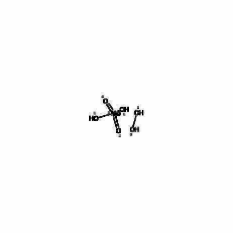 OO.[O]=[Mo](=[O])([OH])[OH]